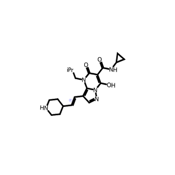 CC(C)Cn1c(=O)c(C(=O)NC2CC2)c(O)n2ncc(/C=C/C3CCNCC3)c12